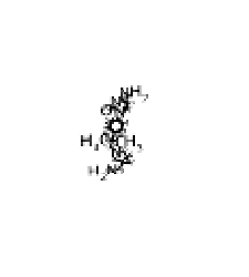 CC(C)(CN1CC2CC2(CN)C1)c1ccc(-n2ccc(N)nc2=O)cc1